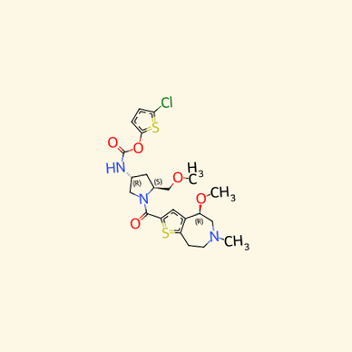 COC[C@@H]1C[C@@H](NC(=O)Oc2ccc(Cl)s2)CN1C(=O)c1cc2c(s1)CCN(C)C[C@@H]2OC